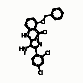 CNc1c(-c2ccc(Cl)cc2Cl)nn2c(=O)c3c(OCc4ccccc4)cccc3[nH]c12